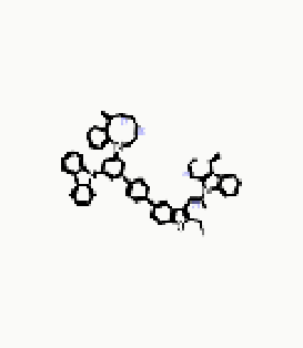 C=Cc1c(/C=C\C)n(/C(C)=C/c2c(CI)oc3ccc(-c4ccc(-c5cc(N6C/C=C\C=C/C(=C)c7ccccc76)cc(-n6c7ccccc7c7ccccc76)c5)cc4)cc23)c2ccccc12